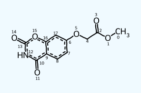 COC(=O)COc1ccc2c(=O)[nH]c(=O)oc2c1